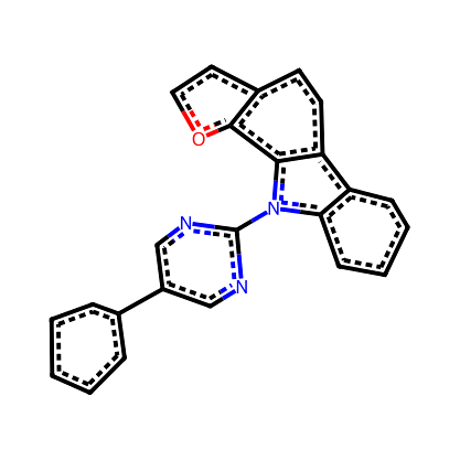 c1ccc(-c2cnc(-n3c4ccccc4c4ccc5ccoc5c43)nc2)cc1